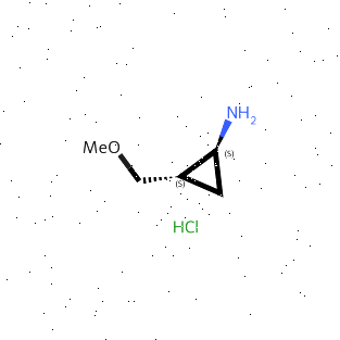 COC[C@H]1C[C@@H]1N.Cl